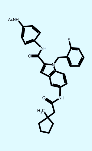 CC(=O)Nc1ccc(NC(=O)c2cc3cc(NC(=O)CC4(C)CCCC4)ccc3n2Cc2ccccc2F)cc1